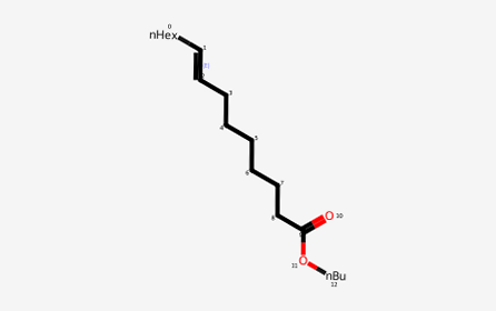 CCCCCC/C=C/CCCCCCC(=O)OCCCC